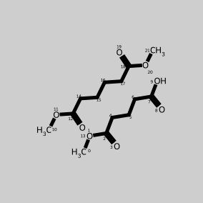 COC(=O)CCCC(=O)O.COC(=O)CCCCC(=O)OC